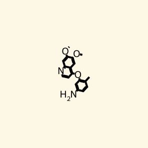 COc1cc2nccc(Oc3cc(N)ccc3C)c2cc1OC